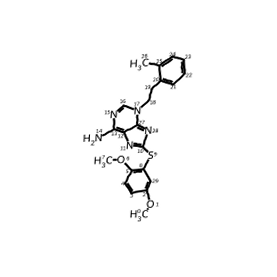 COc1ccc(OC)c(Sc2nc3c(N)ncn(CCc4ccccc4C)c-3n2)c1